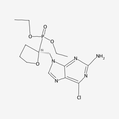 CCOP(=O)(OCC)[C@]1(Cn2cnc3c(Cl)nc(N)nc32)CCCO1